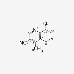 Cc1c(C#N)cnc2c1CCCC2=O